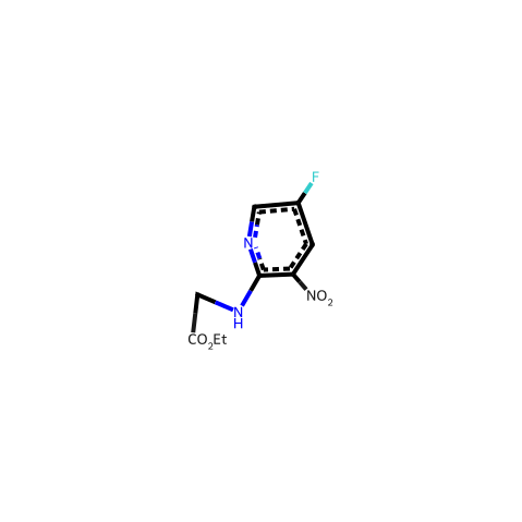 CCOC(=O)CNc1ncc(F)cc1[N+](=O)[O-]